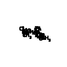 Cc1nc(Cl)cc(OCCCn2c3c(c4cc(S(C)(=O)=O)ccc42)CCCC3)n1